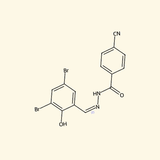 N#Cc1ccc(C(=O)N/N=C\c2cc(Br)cc(Br)c2O)cc1